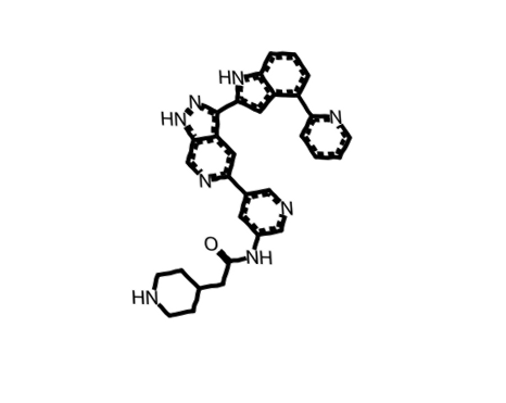 O=C(CC1CCNCC1)Nc1cncc(-c2cc3c(-c4cc5c(-c6ccccn6)cccc5[nH]4)n[nH]c3cn2)c1